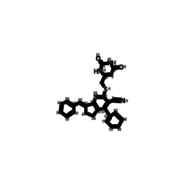 N#Cc1c(SCc2cc(=O)[nH]c(=O)[nH]2)nc2c(c1-c1ccccc1)CC/C2=C\c1ccccc1